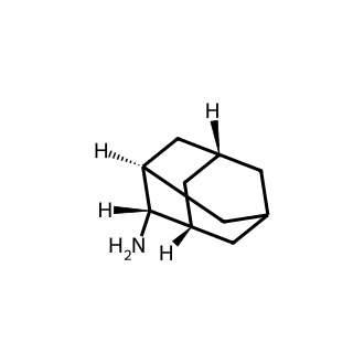 N[C@H]1[C@H]2CC3C[C@H](C2)C[C@H]1C3